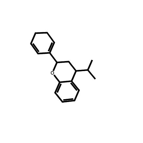 CC(C)C1CC(C2=CCCC=C2)Oc2ccccc21